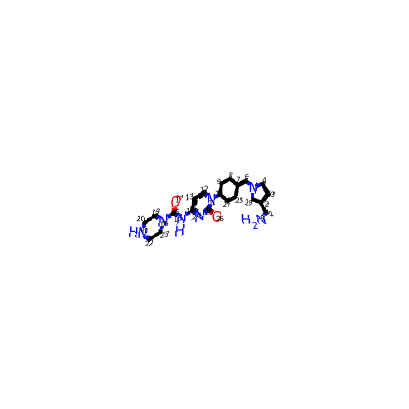 NCC1CCN(CC2CCC(n3ccc(NC(=O)N4CCNCC4)nc3=O)CC2)C1